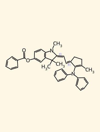 CC1=C(N(c2ccccc2)c2ccccc2)/C(=C/C=C2/N(C)c3ccc(OC(=O)c4ccccc4)cc3C2(C)C)CC1